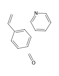 C=Cc1ccccc1.C=O.c1ccncc1